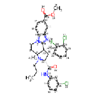 CCCN1[C@H]2CCn3c(nc4cc(C(=O)OC)ccc43)[C@H]2[C@H](c2cccc(Cl)c2F)[C@@H]1C(=O)Nc1cccc(Cl)c1